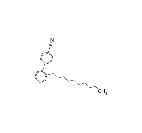 CCCCCCCCCCc1ccccc1-c1ccc(C#N)cc1